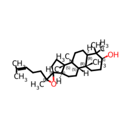 CC(C)=CCC[C@]1(C)O[C@]12CC[C@@]1(C)[C@H]2CC[C@H]2[C@@]3(C)CC[C@H](O)C(C)(C)[C@@H]3CC[C@@]21C